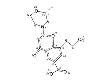 C[C@@H]1CN(c2cc(=O)c3cc(C(=O)O)cc(CCO)c3o2)CCO1